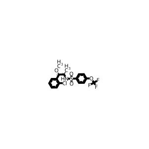 CO[C@@H](c1ccccc1Cl)[C@H](C)NS(=O)(=O)c1ccc(OC(F)(F)F)cc1